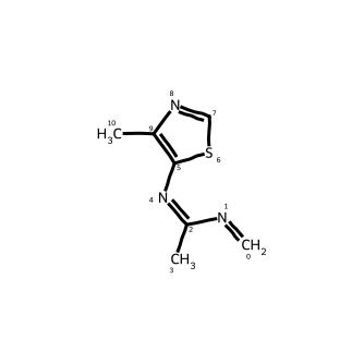 C=N/C(C)=N\c1scnc1C